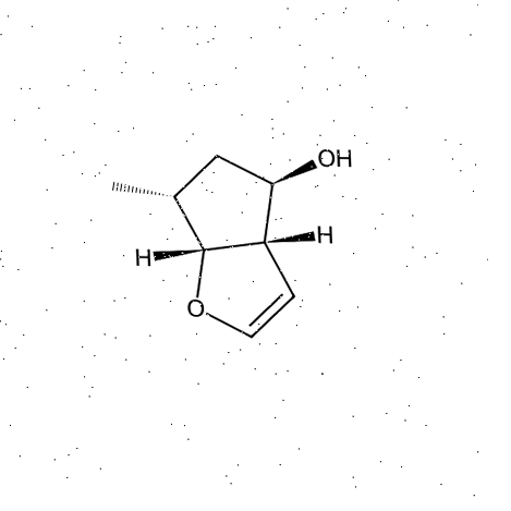 C[C@@H]1C[C@@H](O)[C@@H]2C=CO[C@@H]21